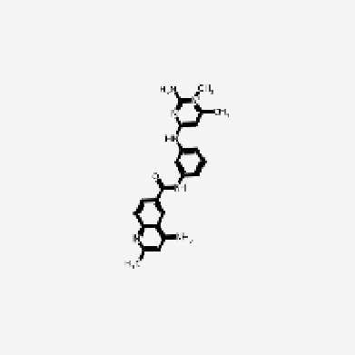 Cc1cc(N)c2cc(C(=O)Nc3cccc(Nc4cc(C)[n+](C)c(N)n4)c3)ccc2n1